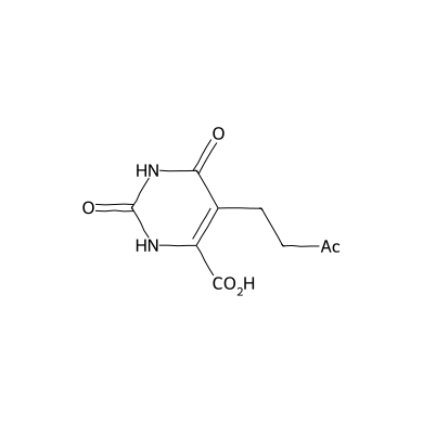 CC(=O)CCc1c(C(=O)O)[nH]c(=O)[nH]c1=O